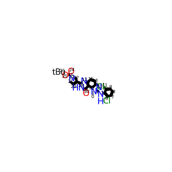 CN1C(Nc2c(Cl)cccc2Cl)=NC2C=Cc3nc(C4=CCN(C(=O)OC(C)(C)C)C4)[nH]c(=O)c3C21